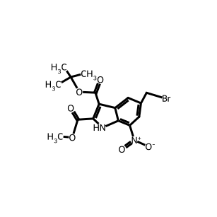 COC(=O)c1[nH]c2c([N+](=O)[O-])cc(CBr)cc2c1C(=O)OC(C)(C)C